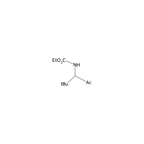 CCOC(=O)NC(C(C)=O)C(C)(C)C